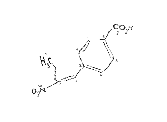 CC(=Cc1ccc(C(=O)O)cc1)[N+](=O)[O-]